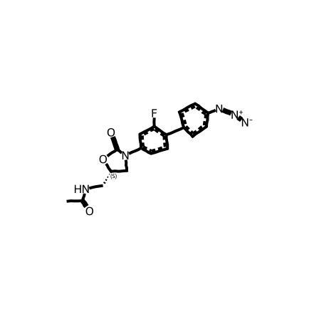 CC(=O)NC[C@H]1CN(c2ccc(-c3ccc(N=[N+]=[N-])cc3)c(F)c2)C(=O)O1